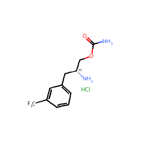 Cl.NC(=O)OC[C@H](N)Cc1cccc(C(F)(F)F)c1